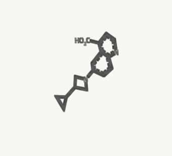 O=C(O)c1ccnc2ccc(N3CC(C4CC4)C3)cc12